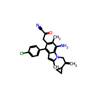 C=C(Cn1c(C)cc2c(-c3ccc(Cl)cc3)c(CC(=O)C#N)c(C)c(N)c21)C1CC1